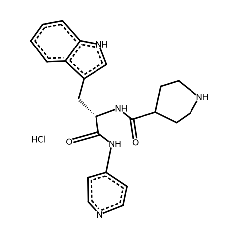 Cl.O=C(N[C@@H](Cc1c[nH]c2ccccc12)C(=O)Nc1ccncc1)C1CCNCC1